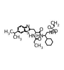 C=CS(=O)(=O)NCC(NC(=O)C(Cc1nc2ccc(C(C)C)cc2s1)NC(=O)CC)C1CCCCC1